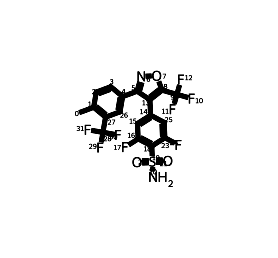 Cc1ccc(-c2noc(C(F)(F)F)c2-c2cc(F)c(S(N)(=O)=O)c(F)c2)cc1C(F)(F)F